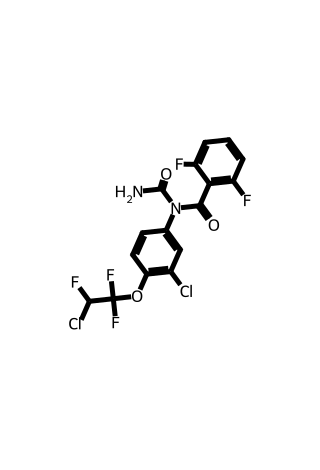 NC(=O)N(C(=O)c1c(F)cccc1F)c1ccc(OC(F)(F)C(F)Cl)c(Cl)c1